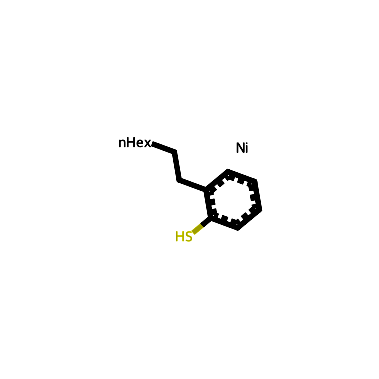 CCCCCCCCc1ccccc1S.[Ni]